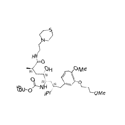 COCCCOc1cc(C[C@@H](C[C@H](NC(=O)OC(C)(C)C)[C@@H](O)C[C@@H](C)C(=O)NCCN2CCSCC2)C(C)C)ccc1OC